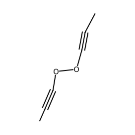 CC#COOC#CC